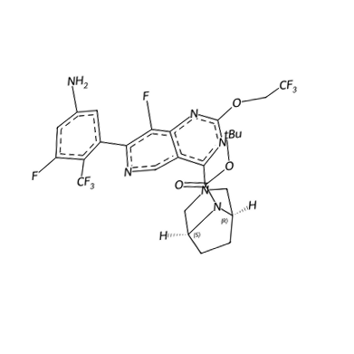 CC(C)(C)OC(=O)N1[C@@H]2CC[C@H]1CN(c1nc(OCC(F)(F)F)nc3c(F)c(-c4cc(N)cc(F)c4C(F)(F)F)ncc13)C2